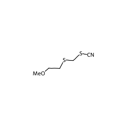 COCCSCSC#N